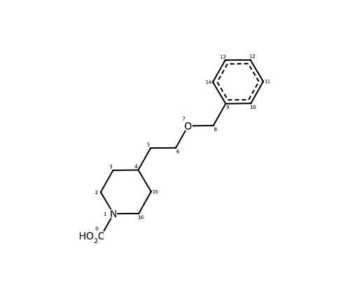 O=C(O)N1CCC(CCOCc2ccccc2)CC1